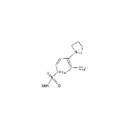 CNS(=O)(=O)c1ccc(N2CCCC2)c(C(=O)O)c1